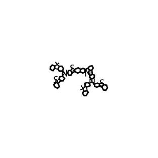 CC1(C)c2ccccc2-c2cc(N(c3ccc4c(c3)sc3ccccc34)c3ccc4c(c3)sc3cc5cc6c7cccc8c9ccc(N(c%10ccc%11c(c%10)-c%10ccccc%10C%11(C)C)c%10ccc%11c(c%10)sc%10ccccc%10%11)cc9n(c6cc5cc34)c87)ccc21